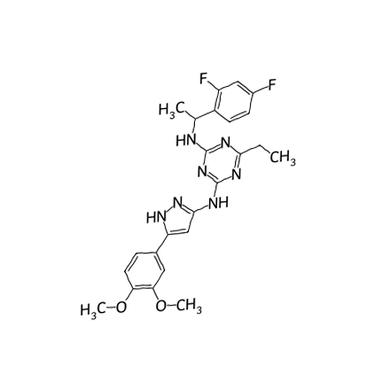 CCc1nc(Nc2cc(-c3ccc(OC)c(OC)c3)[nH]n2)nc(NC(C)c2ccc(F)cc2F)n1